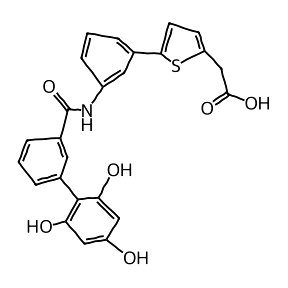 O=C(O)Cc1ccc(-c2cccc(NC(=O)c3cccc(-c4c(O)cc(O)cc4O)c3)c2)s1